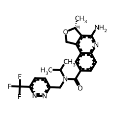 CC(C)N(Cc1ccc(C(F)(F)F)nn1)C(=O)c1ccc2nc(N)c3c(c2c1)CO[C@@H]3C